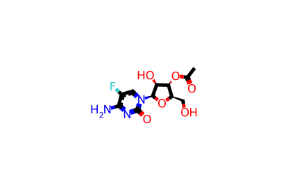 CC(=O)O[C@H]1[C@H](O)[C@H](n2cc(F)c(N)nc2=O)O[C@@H]1CO